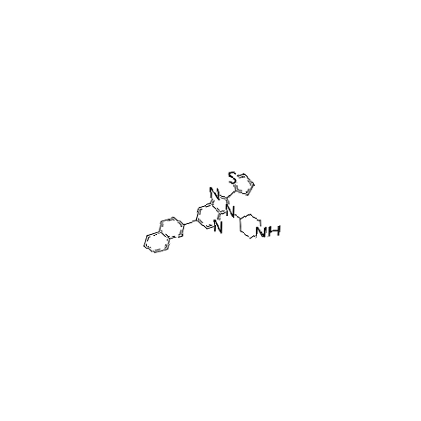 c1csc(-c2nc3cc(-c4ccc5ccccc5c4)cnc3n2C2CCNCC2)c1